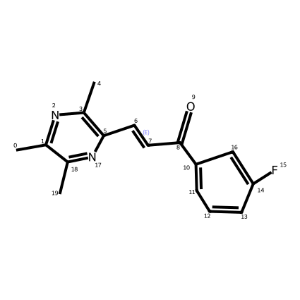 Cc1nc(C)c(/C=C/C(=O)c2cccc(F)c2)nc1C